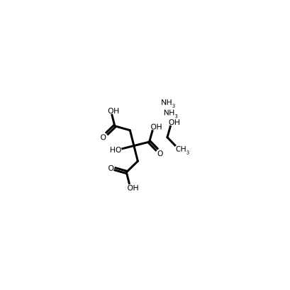 CCO.N.N.O=C(O)CC(O)(CC(=O)O)C(=O)O